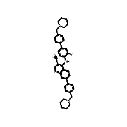 Cc1cc(-c2ccc(CN3CCCCC3)cc2)cc(Cl)c1Nc1c(C#N)cnc2cc(-c3ccc(CN4CCCCC4)cc3)ccc12